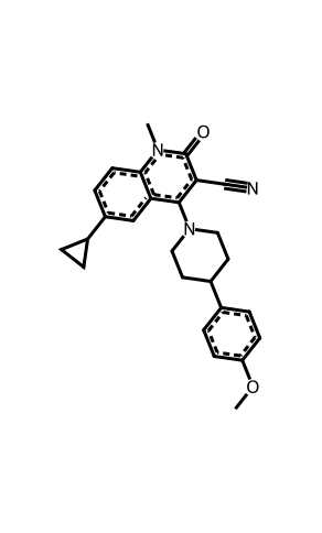 COc1ccc(C2CCN(c3c(C#N)c(=O)n(C)c4ccc(C5CC5)cc34)CC2)cc1